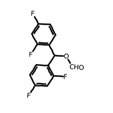 O=COC(c1ccc(F)cc1F)c1ccc(F)cc1F